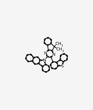 CC1(C)c2ccccc2-c2nc(-n3c4ccccc4c4cc5ccccc5cc43)c(-c3cccc4sc5ccccc5c34)nc21